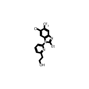 CCc1nc2cc(C(F)(F)F)c(Cl)cc2n1-c1cccc(CCO)n1